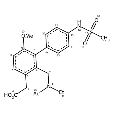 CCN(Cc1c(CC(=O)O)ccc(OC)c1-c1ccc(NS(C)(=O)=O)cc1)C(C)=O